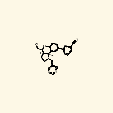 N#Cc1cccc(-c2ccc3c(c2)[C@@H]2[C@@H](CCN2Cc2cncnc2)[C@@H](CO)N3)c1